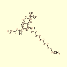 C=CCNc1nc(NCCCCCCCCCCCC)c2cc([N+](=O)[O-])ccc2n1